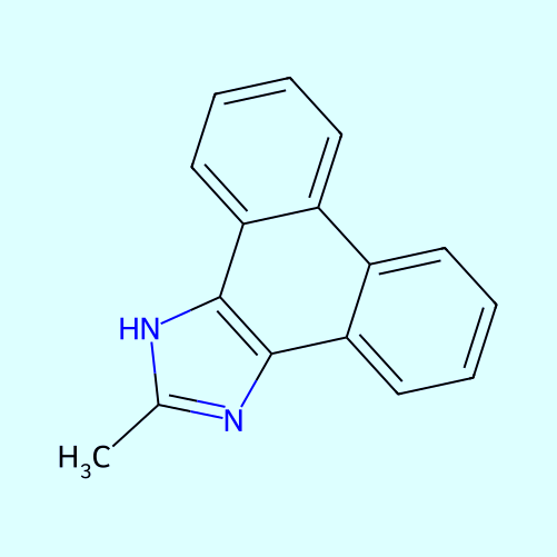 Cc1nc2c3ccccc3c3ccccc3c2[nH]1